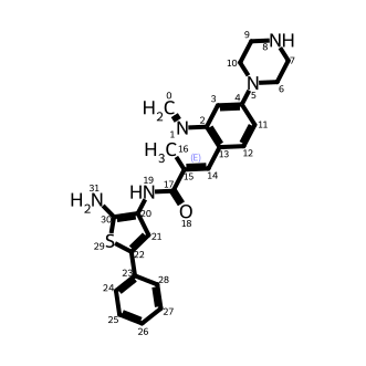 C=Nc1cc(N2CCNCC2)ccc1/C=C(\C)C(=O)Nc1cc(-c2ccccc2)sc1N